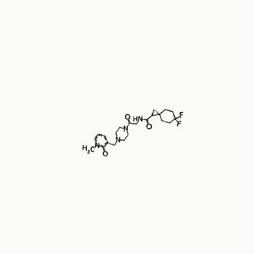 Cn1cccc(CN2CCN(C(=O)CNC(=O)C3CC34CCC(F)(F)CC4)CC2)c1=O